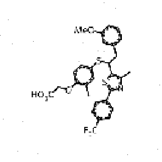 COc1cccc(CC(Sc2ccc(OCC(=O)O)c(C)c2)c2sc(-c3ccc(C(F)(F)F)cc3)nc2C)c1